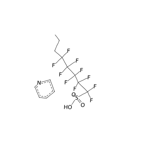 CCCC(F)(F)C(F)(F)C(F)(F)C(F)(F)C(F)(F)S(=O)(=O)O.c1ccncc1